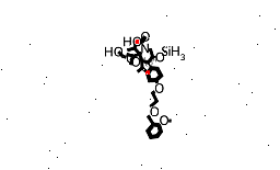 COc1ccccc1COCCCOc1ccc([C@@H]2[C@H](O[SiH3])CN(C(=O)O)C(C(C)C)(C(C)C)[C@@]2(OCCO)C(C)C)cc1